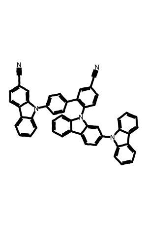 N#Cc1ccc(-n2c3ccccc3c3ccc(-n4c5ccccc5c5ccccc54)cc32)c(-c2ccc(-n3c4ccccc4c4ccc(C#N)cc43)cc2)c1